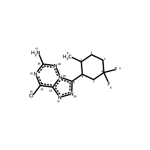 CC1CCC(F)(F)CC1c1nnc2c(Cl)nc(N)nn12